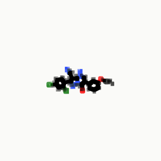 COc1cccc(-c2c[nH]c3c(C#N)c(-c4ccc(Cl)cc4Cl)nn3c2=O)c1